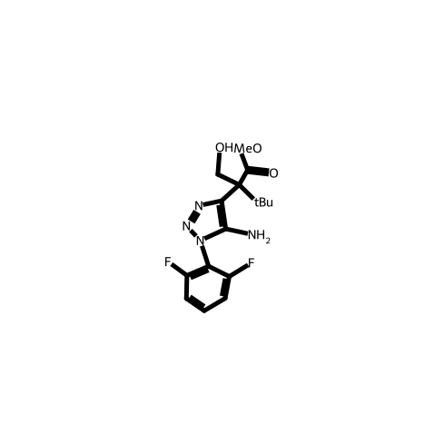 COC(=O)C(CO)(c1nnn(-c2c(F)cccc2F)c1N)C(C)(C)C